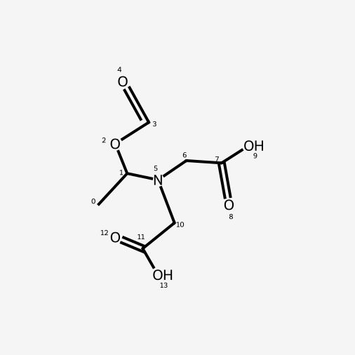 CC(OC=O)N(CC(=O)O)CC(=O)O